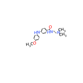 COc1ccc(Nc2ccc(C(=O)NCCN(C)C)cc2)cc1